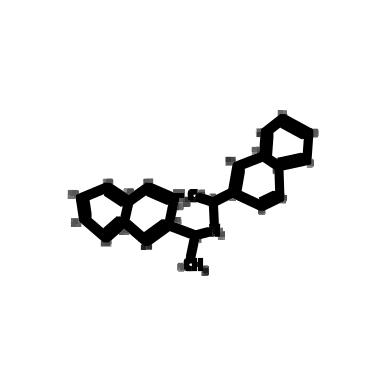 CC([N]C(C)c1ccc2ccccc2c1)c1ccc2ccccc2c1